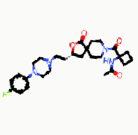 CC(=O)NC1(C(=O)N2CCC3(CC2)C[C@H](CCN2CCN(c4ccc(F)cc4)CC2)OC3=O)CCC1